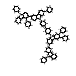 c1ccc(-c2ccc3c4cc(-c5ccc6c(c5-c5ccccc5)c5ccccc5n6-c5ccccc5)ccc4n(-c4ccc(-c5ccc(-n6c7ccc(-c8ccc9c(c8)c8ccccc8n9-c8ccccc8)cc7c7cc(-c8ccccc8)c(-c8ccccc8)cc76)cc5)cc4)c3c2)cc1